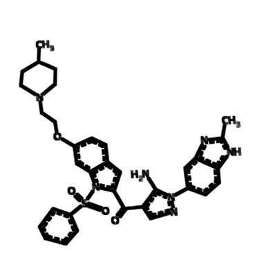 Cc1nc2cc(-n3ncc(C(=O)c4cc5ccc(OCCN6CCC(C)CC6)cc5n4S(=O)(=O)c4ccccc4)c3N)ccc2[nH]1